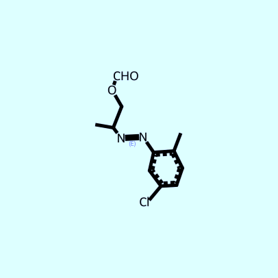 Cc1ccc(Cl)cc1/N=N/C(C)COC=O